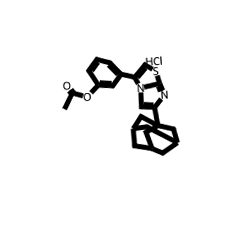 CC(=O)Oc1cccc(-c2csc3nc(C45CC6CC(CC(C6)C4)C5)cn23)c1.Cl